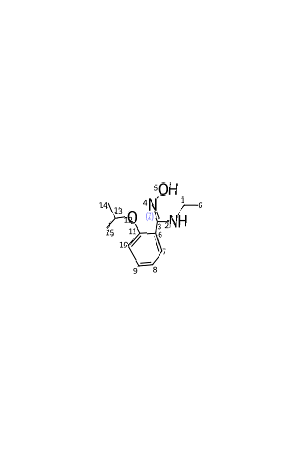 CCN/C(=N\O)c1ccccc1OC(C)C